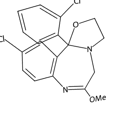 COC1=Nc2ccc(Cl)cc2C2(c3ccccc3Cl)OCCN2C1